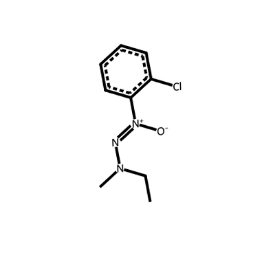 CCN(C)N=[N+]([O-])c1ccccc1Cl